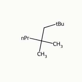 [CH2]CCC(C)(C)CC(C)(C)C